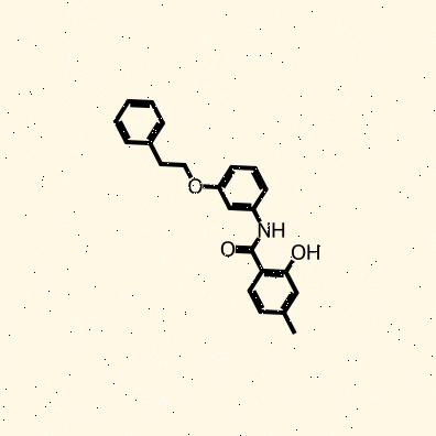 Cc1ccc(C(=O)Nc2cccc(OCCc3ccccc3)c2)c(O)c1